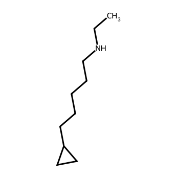 CCNCCCCCC1CC1